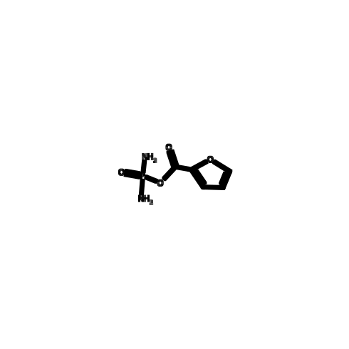 NP(N)(=O)OC(=O)c1ccco1